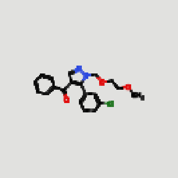 COCCOCn1ncc(C(=O)c2ccccc2)c1-c1cccc(Cl)c1